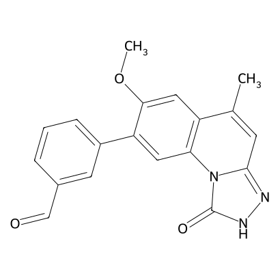 COc1cc2c(C)cc3n[nH]c(=O)n3c2cc1-c1cccc(C=O)c1